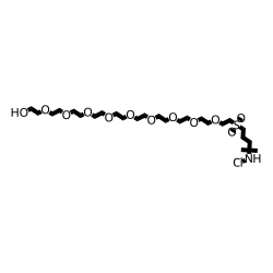 CC(C)(CCCS(=O)(=O)CCOCCOCCOCCOCCOCCOCCOCCOCCOCCO)NCl